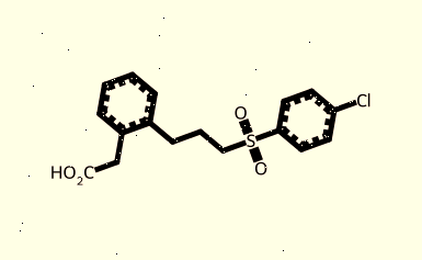 O=C(O)Cc1ccccc1CCCS(=O)(=O)c1ccc(Cl)cc1